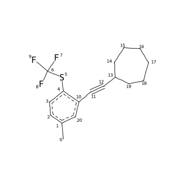 Cc1ccc(SC(F)(F)F)c(C#CC2CCCCCC2)c1